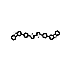 C1=C(C2=CCC(c3ccc(-c4ccc5sc6ccccc6c5c4)cc3)S2)SC(c2ccc(-c3ccc4sc5ccccc5c4c3)cc2)C1